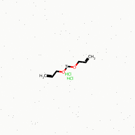 C=CC[O][Ti][O]CC=C.Cl.Cl